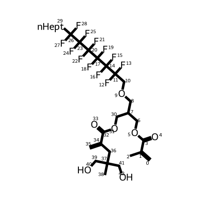 C=C(C)C(=O)OCC(COCC(F)(F)C(F)(F)C(F)(F)C(F)(F)C(F)(F)C(F)(F)CCCCCCC)COC(=O)C(=C)CC(C)(CO)CO